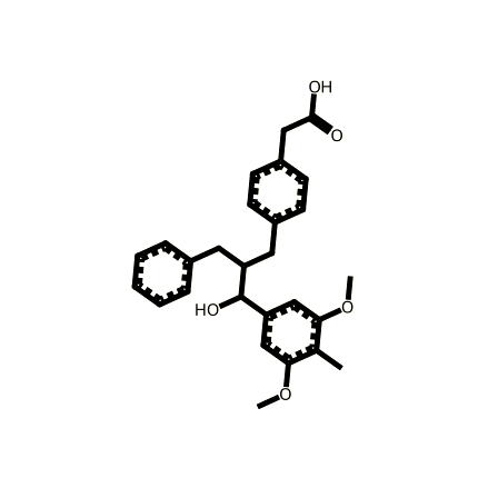 COc1cc(C(O)C(Cc2ccccc2)Cc2ccc(CC(=O)O)cc2)cc(OC)c1C